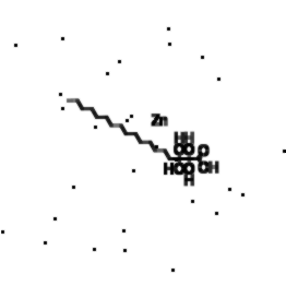 CCCCCCCCCCCCCCCC(O)(O)C(O)(O)C(=O)O.[Zn]